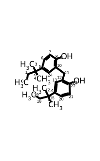 CCC(C)(C)c1ccc(O)c(Cc2cc(C(C)(C)CC)ccc2O)c1